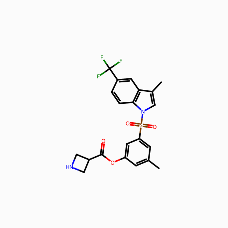 Cc1cc(OC(=O)C2CNC2)cc(S(=O)(=O)n2cc(C)c3cc(C(F)(F)F)ccc32)c1